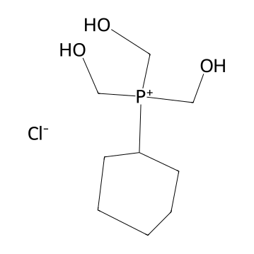 OC[P+](CO)(CO)C1CCCCC1.[Cl-]